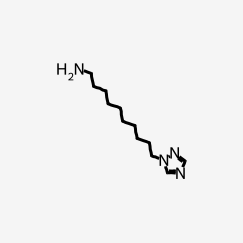 NCCCCCCCCCCn1cncn1